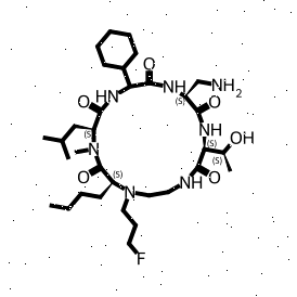 CCCC[C@H]1C(=O)N(C)[C@@H](CC(C)C)C(=O)NC(C2CCCCC2)C(=O)N[C@@H](CN)C(=O)N[C@@H]([C@H](C)O)C(=O)NCCN1CCCF